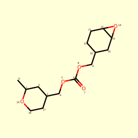 CC1CC(COC(=O)OCC2CCC3OC3C2)CCO1